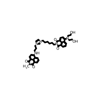 CN1C(=O)c2cccc3c(NCCCn4cc[n+](CCCCCCN5C(=O)c6cccc7c(N(CCO)CCO)ccc(c67)C5=O)c4)ccc(c23)C1=O